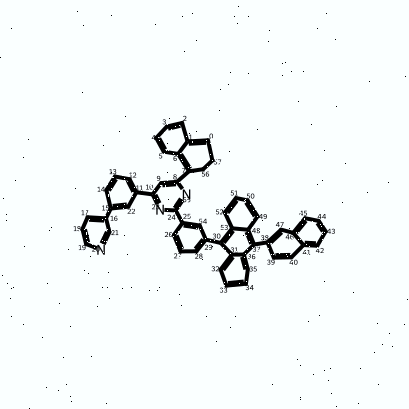 C1=c2ccccc2=C(c2cc(-c3cccc(-c4cccnc4)c3)nc(-c3cccc(-c4c5ccccc5c(-c5ccc6ccccc6c5)c5ccccc45)c3)n2)CC1